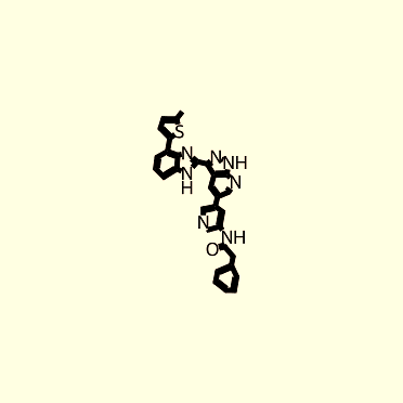 Cc1ccc(-c2cccc3[nH]c(-c4n[nH]c5ncc(-c6cncc(NC(=O)Cc7ccccc7)c6)cc45)nc23)s1